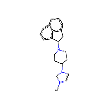 CCN1C=CN(C2CCN(C3Cc4cccc5cccc3c45)CC2)C1